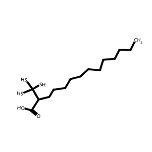 CCCCCCCCCCCCC(C(=O)O)C(S)(S)S